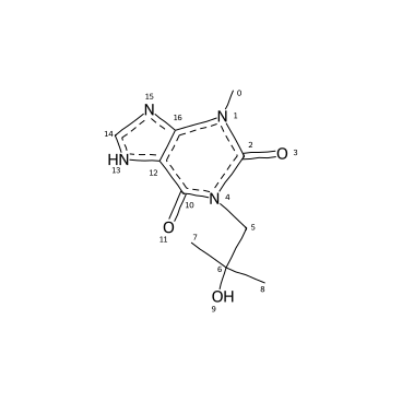 Cn1c(=O)n(CC(C)(C)O)c(=O)c2[nH]cnc21